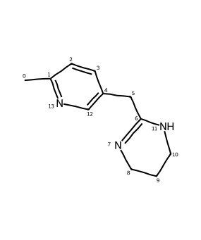 Cc1ccc(CC2=NCCCN2)cn1